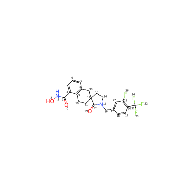 O=C(NO)c1cccc2c1CCC1(CCN(Cc3ccc(C(F)(F)F)c(F)c3)C1=O)C2